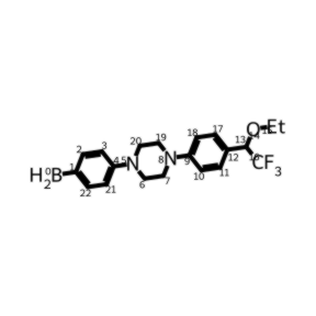 Bc1ccc(N2CCN(c3ccc(C(OCC)C(F)(F)F)cc3)CC2)cc1